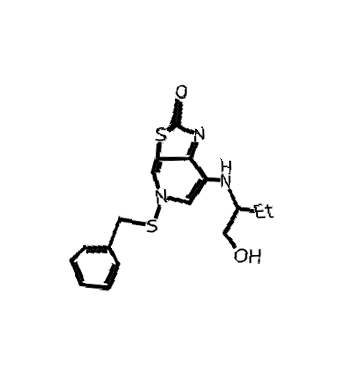 CCC(CO)Nc1cn(SCc2ccccc2)cc2sc(=O)nc1-2